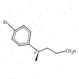 CCc1ccc([C@H](C)CCC(=O)O)cc1